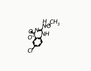 CONC1=NS(=O)(=O)c2cc(Cl)ccc2N1